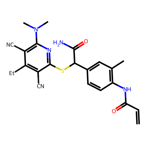 C=CC(=O)Nc1ccc(C(Sc2nc(N(C)C)c(C#N)c(CC)c2C#N)C(N)=O)cc1C